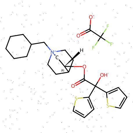 O=C(O[C@H]1C[N+]2(CC3CCCCC3)CCC1CC2)C(O)(c1cccs1)c1cccs1.O=C([O-])C(F)(F)F